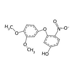 COc1ccc(Oc2cc(O)ccc2[N+](=O)[O-])cc1OC